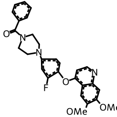 COc1cc2nccc(Oc3ccc(N4CCN(C(=O)c5ccccc5)CC4)cc3F)c2cc1OC